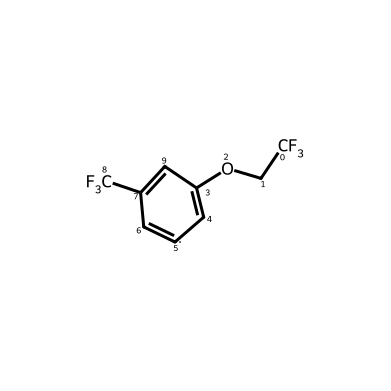 FC(F)(F)COc1c[c]cc(C(F)(F)F)c1